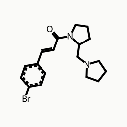 O=C(C=Cc1ccc(Br)cc1)N1CCCC1CN1CCCC1